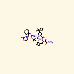 C[C@H]1CN(CC2(NC(=O)N[C@H](C(=O)N3CC4(C[C@H]3C(=O)NC(CC3CCC3)C(=O)C(N)=O)C(C)(C)C43CCC3)C(C)(C)C)CCCCC2)C[C@H](C)O1